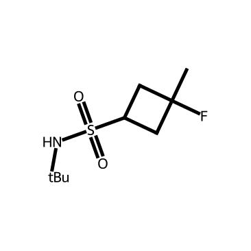 CC1(F)CC(S(=O)(=O)NC(C)(C)C)C1